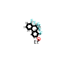 CCOc1ccc2c(c1F)C(F)(F)C(F)(F)c1c(F)cccc1-2